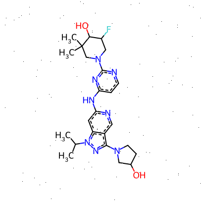 CC(C)n1nc(N2CCC(O)C2)c2cnc(Nc3ccnc(N4CC(F)C(O)C(C)(C)C4)n3)cc21